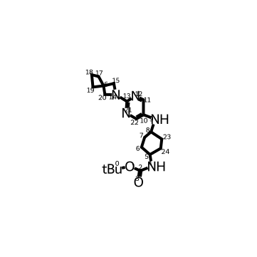 CC(C)(C)OC(=O)NC1CCC(Nc2cnc(N3CC4(CCC4)C3)nc2)CC1